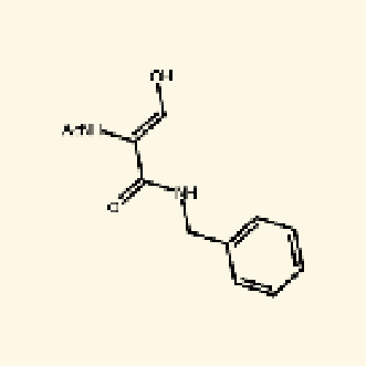 CC(=O)NC(=CO)C(=O)NCc1ccccc1